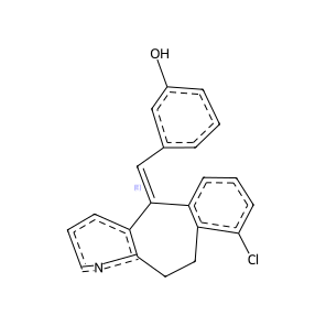 Oc1cccc(/C=C2/c3cccnc3CCc3c(Cl)cccc32)c1